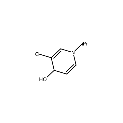 CC(C)N1C=CC(O)C(Cl)=C1